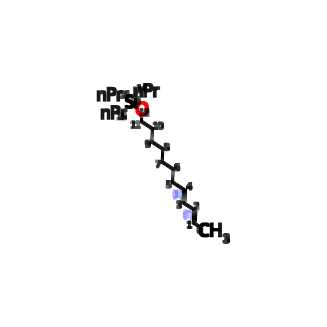 C/C=C/C=C/CCCCCCCO[Si](CCC)(CCC)CCC